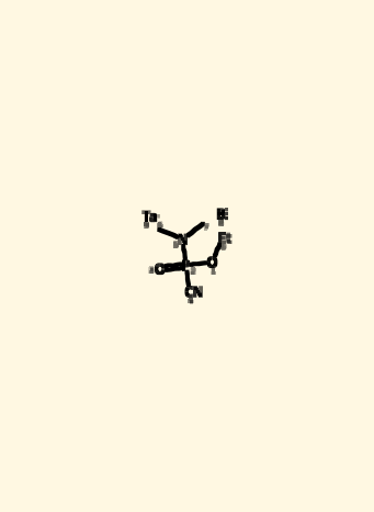 CCOP(=O)(C#N)N(C)C.[B].[Ta]